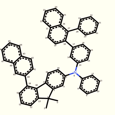 CC1(C)c2cc(N(c3ccccc3)c3cccc(-c4ccc5ccccc5c4-c4ccccc4)c3)ccc2-c2c(-c3ccc4ccccc4c3)cccc21